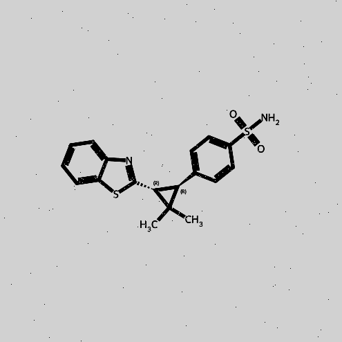 CC1(C)[C@H](c2ccc(S(N)(=O)=O)cc2)[C@H]1c1nc2ccccc2s1